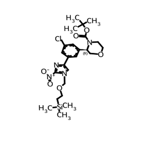 CC(C)(C)OC(=O)N1CCOC[C@H]1c1cc(Cl)cc(-c2cn(COCC[Si](C)(C)C)c([N+](=O)[O-])n2)c1